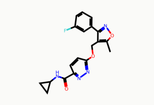 Cc1onc(-c2cccc(F)c2)c1COc1ccc(C(=O)NC2CC2)nn1